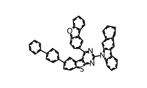 c1ccc(-c2ccc(-c3ccc4sc5nc(-n6c7ccccc7c7cc8ccccc8cc76)nc(-c6ccc7oc8ccccc8c7c6)c5c4c3)cc2)cc1